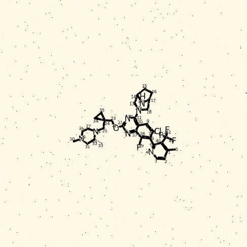 Cc1ccnc(-c2c(Cl)cc3c(N4CC5CCC(C4)N5)nc(OCC4(CN5CCN(C)C[C@H]5C)CC4)nc3c2F)c1C(F)(F)F